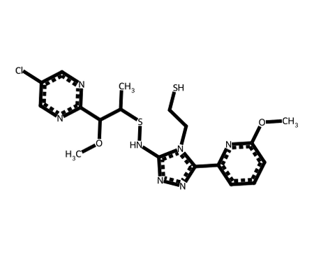 COc1cccc(-c2nnc(NSC(C)C(OC)c3ncc(Cl)cn3)n2CCS)n1